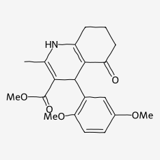 COC(=O)C1=C(C)NC2=C(C(=O)CCC2)C1c1cc(OC)ccc1OC